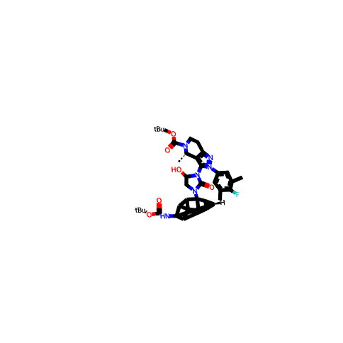 Cc1cc(-n2nc3c(c2N2C(=O)N(C45C6C7C68C6C7(NC(=O)OC(C)(C)C)[C@@H]7C4C67C85)CC2O)[C@H](C)N(C(=O)OC(C)(C)C)CC3)cc(C)c1F